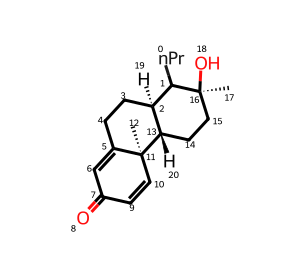 CCCC1[C@@H]2CCC3=CC(=O)C=C[C@]3(C)[C@H]2CC[C@]1(C)O